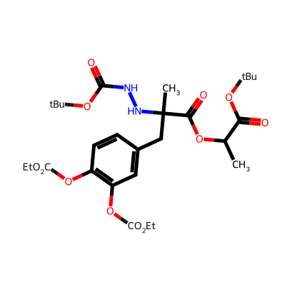 CCOC(=O)Oc1ccc(CC(C)(NNC(=O)OC(C)(C)C)C(=O)OC(C)C(=O)OC(C)(C)C)cc1OC(=O)OCC